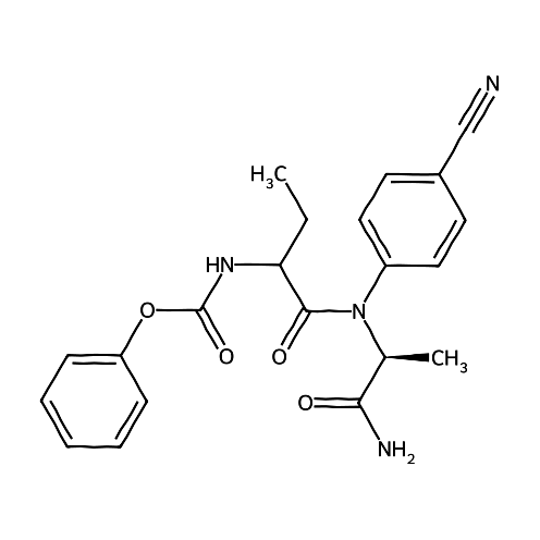 CCC(NC(=O)Oc1ccccc1)C(=O)N(c1ccc(C#N)cc1)[C@@H](C)C(N)=O